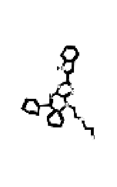 O=C(NC1N=C(c2ccccc2)c2ccccc2N(CCOCCCl)C1=O)c1cc2ccccc2[nH]1